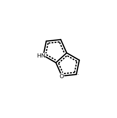 [c]1cc2cc[nH]c2o1